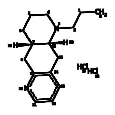 CCCN1CCC[C@H]2Cc3ncccc3C[C@@H]21.Cl.Cl